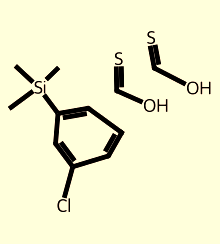 C[Si](C)(C)c1cccc(Cl)c1.OC=S.OC=S